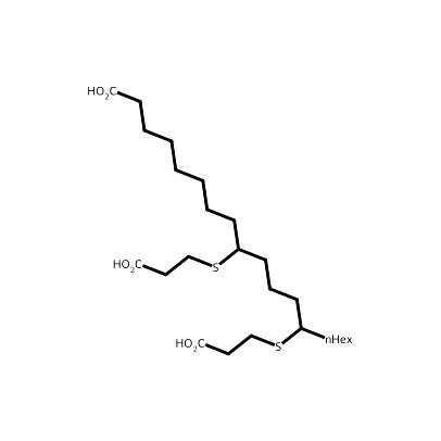 CCCCCCC(CCCC(CCCCCCCC(=O)O)SCCC(=O)O)SCCC(=O)O